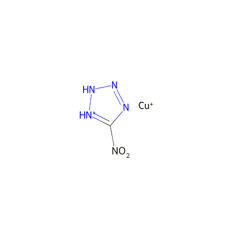 O=[N+]([O-])c1nn[nH][nH+]1.[Cu+]